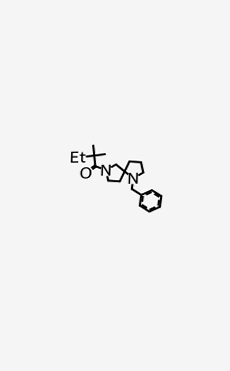 CCC(C)(C)C(=O)N1CCC2(CCCN2Cc2ccccc2)C1